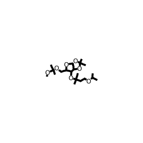 COC(C)(C)OCC1OC2OC(C)(C)OC2C1OC(C)(C)CCOC(C)C